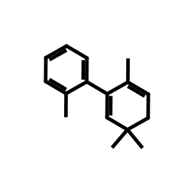 CC1=CCC(C)(C)C=C1c1ccccc1C